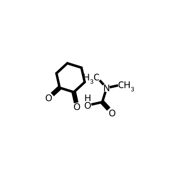 CN(C)C(=O)O.O=C1CCCCC1=O